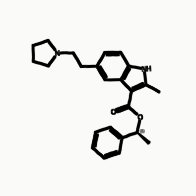 Cc1[nH]c2ccc(CCN3CCCC3)cc2c1C(=O)O[C@@H](C)c1ccccc1